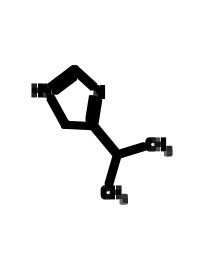 CC(C)C1=NC=[SH]C1